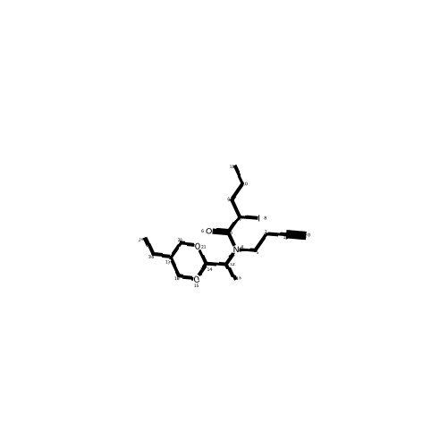 C#CCCN(C(=O)C(I)CCC)C(C)C1OCC(CC)CO1